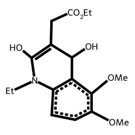 CCOC(=O)CC1=C(O)N(CC)c2ccc(OC)c(OC)c2C1O